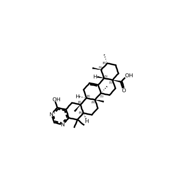 C[C@H]1[C@H](C)CC[C@]2(C(=O)O)CC[C@]3(C)C(=CC[C@@H]4[C@@]5(C)Cc6c(O)ncnc6C(C)(C)[C@@H]5CC[C@]43C)[C@H]12